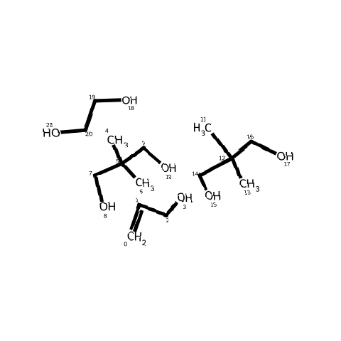 C=CCO.CC(C)(CO)CO.CC(C)(CO)CO.OCCO